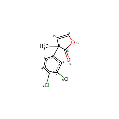 CC1(c2ccc(Cl)c(Cl)c2)C=COC1=O